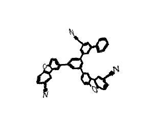 N#Cc1cc(-c2ccccc2)cc(-c2cc(-c3ccc4oc5ccc(C#N)cc5c4c3)cc(-c3ccc4oc5ccc(C#N)cc5c4c3)c2)c1